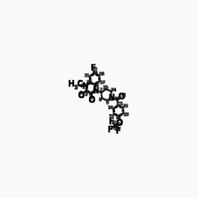 Cn1c(=O)c(=O)n(C2CCN(C(=O)c3ccc(OC(F)(F)F)cc3)CC2)c2ccc(F)cc21